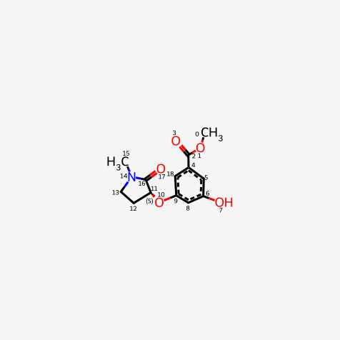 COC(=O)c1cc(O)cc(O[C@H]2CCN(C)C2=O)c1